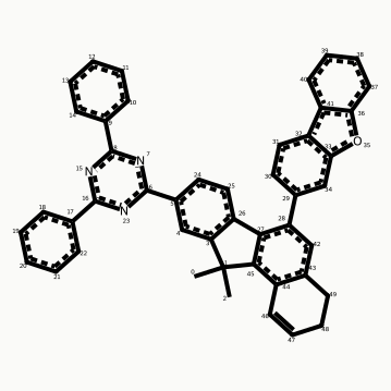 CC1(C)c2cc(-c3nc(-c4ccccc4)nc(-c4ccccc4)n3)ccc2-c2c(-c3ccc4c(c3)oc3ccccc34)cc3c(c21)C=CCC3